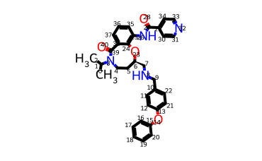 CC(C)N1CC[C@H](CNCc2ccc(Oc3ccccc3)cc2)Oc2c(NC(=O)c3ccncc3)cccc2C1=O